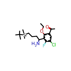 CCOc1c(C(C)=O)cc(Cl)c(F)c1C(N)CCC[Si](C)(C)C(C)(C)C